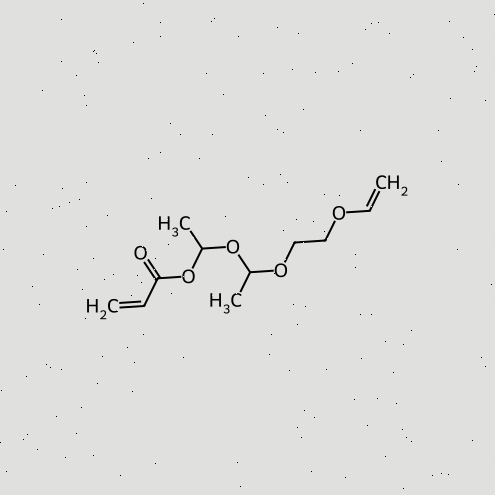 C=COCCOC(C)OC(C)OC(=O)C=C